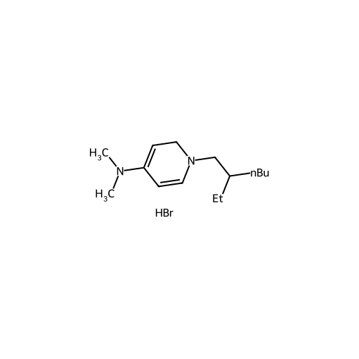 Br.CCCCC(CC)CN1C=CC(N(C)C)=CC1